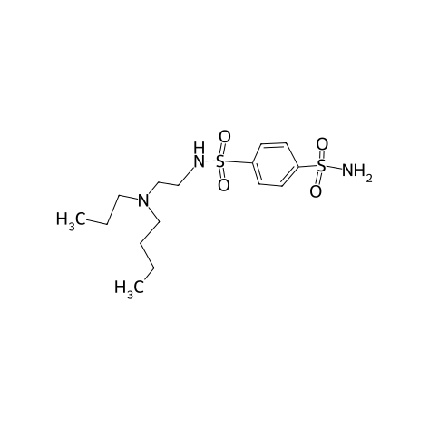 CCCCN(CCC)CCNS(=O)(=O)c1ccc(S(N)(=O)=O)cc1